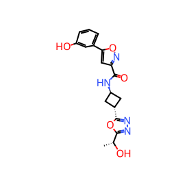 C[C@@H](O)c1nnc([C@H]2C[C@H](NC(=O)c3cc(-c4cccc(O)c4)on3)C2)o1